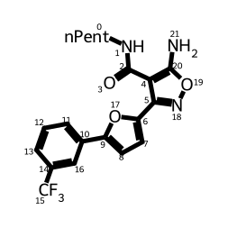 CCCCCNC(=O)c1c(-c2ccc(-c3cccc(C(F)(F)F)c3)o2)noc1N